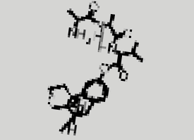 CC(N)C(=O)NC(C)C(=O)NC(C(=O)Oc1ccc2c(c1)[C@@]13CCCC[C@H]1[C@@H](C2)N(C)CC3)C(C)C